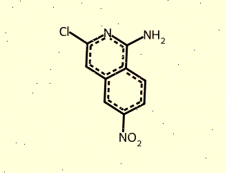 Nc1nc(Cl)cc2cc([N+](=O)[O-])ccc12